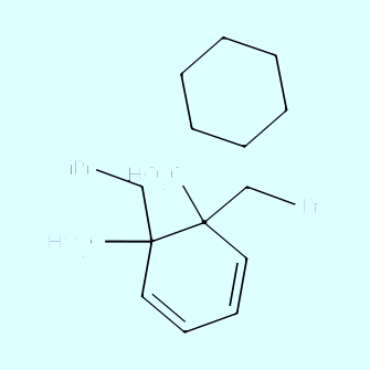 C1CCCCC1.CC(C)CC1(C(=O)O)C=CC=CC1(CC(C)C)C(=O)O